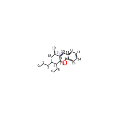 CCCCC(CC)C(=O)/C(=C\c1ccccc1)C(C)C